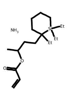 C=CC(=O)OC(C)CCC1(CC)CCCC[Si]1(CC)CC.N